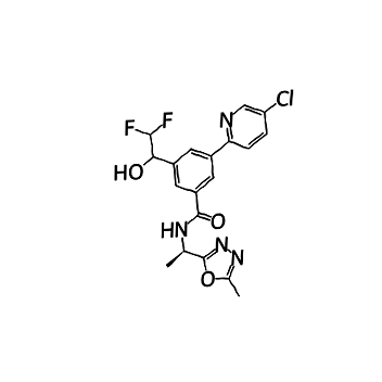 Cc1nnc([C@@H](C)NC(=O)c2cc(-c3ccc(Cl)cn3)cc(C(O)C(F)F)c2)o1